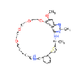 COc1cc2nc(C)nc3c2cc1OCCOCCOCCOCCCCCNCc1ccccc1-c1ccc(s1)[C@@H](C)N3